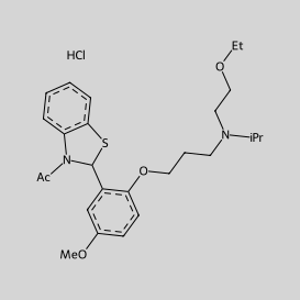 CCOCCN(CCCOc1ccc(OC)cc1C1Sc2ccccc2N1C(C)=O)C(C)C.Cl